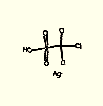 O=S(=O)(O)C(Cl)(Cl)Cl.[Ag]